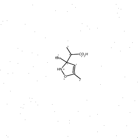 CC1=CC(C(C)C(=O)O)(C(C)(C)C)NO1